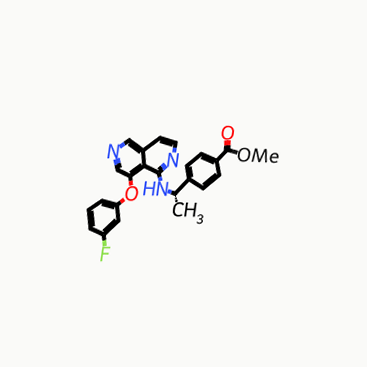 COC(=O)c1ccc([C@H](C)Nc2nccc3cncc(Oc4cccc(F)c4)c23)cc1